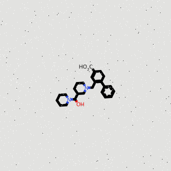 O=C(O)C1=CC(CN2CCCC(C(O)N3CCCCC3)C2)=C(c2ccccc2)CC1